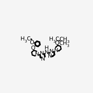 CCOc1ccccc1OC1CCCN(c2cncc(Nc3nccc(N4CCCC(OC(C)(C)C)C4)n3)n2)C1